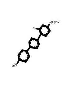 CCCCCc1ccc(-c2ccc(-c3ccc(CCC)cc3)cc2)c(F)c1